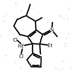 CCC1(C)C(=[Si](C)C)C2=C(CCCC(C)C2C)[C]1(C1=CC=CC1)[Hf]([Cl])[Cl]